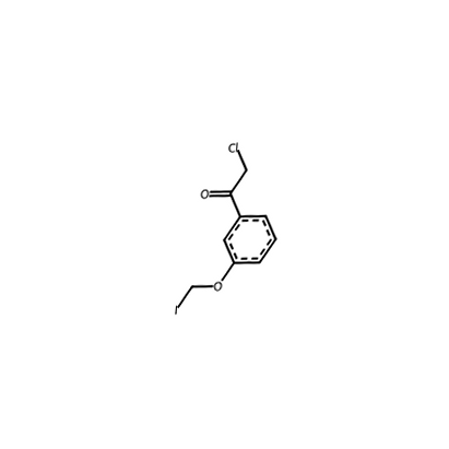 O=C(CCl)c1cccc(OCI)c1